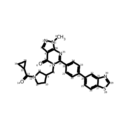 Cn1ncc2c(=O)n(CC3CCN(C(=O)C4CC4)C3)c(-c3ccc(-c4ccc5scnc5c4)cc3)nc21